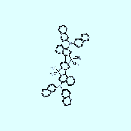 CC1(C)c2cc3c(cc2-c2c1cc(N(c1ccc4ccccc4c1)c1ccc4ccccc4c1)c1ccccc21)C(C)(C)c1cc(N(c2ccc4ccccc4c2)c2ccc4ccccc4c2)c2ccccc2c1-3